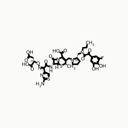 CCCN(C[C@@H]1CCCN1CC1=C(C(=O)O)N2C(=O)[C@@H](NC(=O)/C(=N\O[C@@H](CC(=O)O)C(=O)O)c3csc(N)n3)[C@H]2S[C@H]1C)C(=O)C(=O)c1cc(O)c(O)c(F)c1